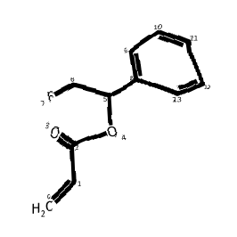 C=CC(=O)OC(CF)c1ccccc1